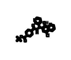 CC(C)(C)OC(=O)N1CCC(C(=O)NC(c2cccnc2)c2cc(Cl)c3cccnc3c2O)CC1